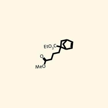 CCOC(=O)C1(CCCC(=O)OC)CC2C=CC1C2